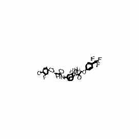 O=C(COc1ccc(Cl)c(F)c1)NC1=C2CC(NC(=O)COc3ccc(C(F)(F)F)cc3)(C2)[C@@H](O)C1